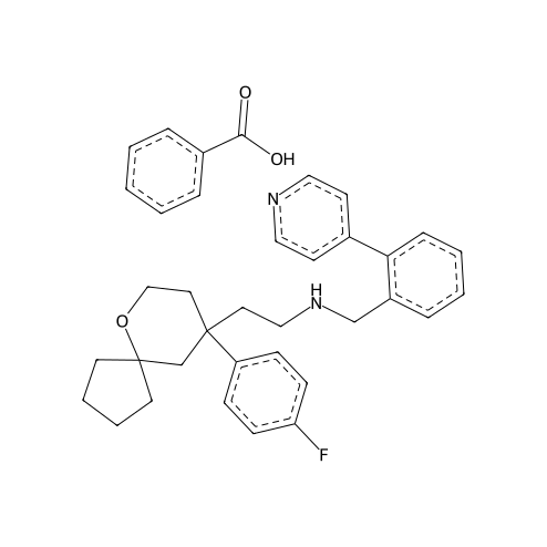 Fc1ccc(C2(CCNCc3ccccc3-c3ccncc3)CCOC3(CCCC3)C2)cc1.O=C(O)c1ccccc1